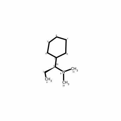 CC[C@@H](C1CCCCC1)N(C)C